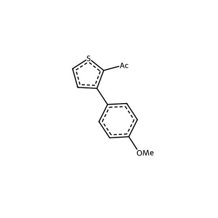 COc1ccc(-c2ccsc2C(C)=O)cc1